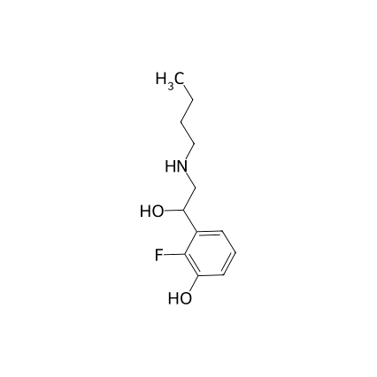 CCCCNCC(O)c1cccc(O)c1F